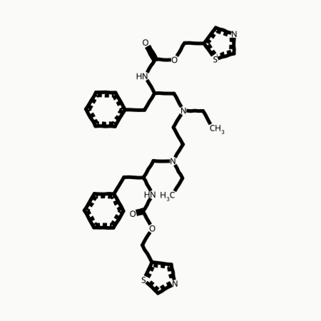 CCN(CCN(CC)CC(Cc1ccccc1)NC(=O)OCc1cncs1)CC(Cc1ccccc1)NC(=O)OCc1cncs1